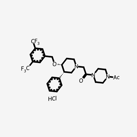 CC(=O)N1CCN(C(=O)CN2CC[C@@H](OCc3cc(C(F)(F)F)cc(C(F)(F)F)c3)[C@@H](c3ccccc3)C2)CC1.Cl